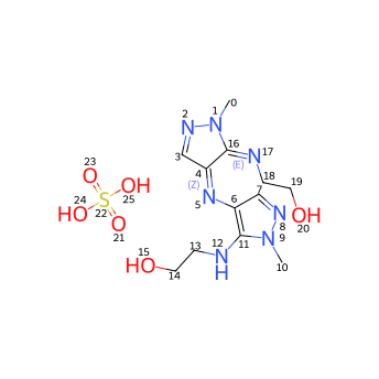 CN1N=CC(=N/c2cnn(C)c2NCCO)/C1=N\CCO.O=S(=O)(O)O